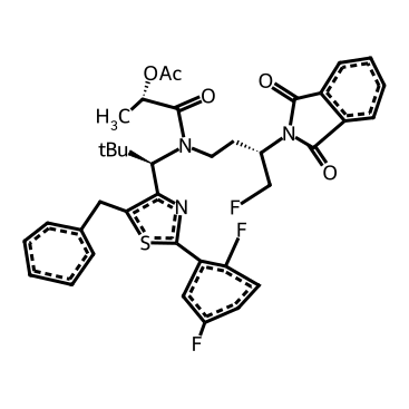 CC(=O)O[C@@H](C)C(=O)N(CC[C@@H](CF)N1C(=O)c2ccccc2C1=O)[C@@H](c1nc(-c2cc(F)ccc2F)sc1Cc1ccccc1)C(C)(C)C